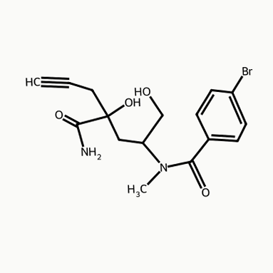 C#CCC(O)(CC(CO)N(C)C(=O)c1ccc(Br)cc1)C(N)=O